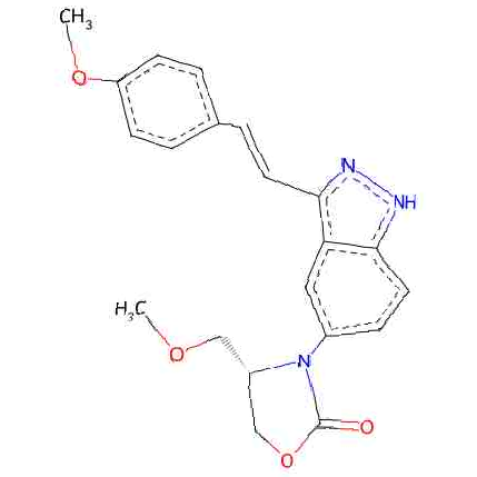 COC[C@H]1COC(=O)N1c1ccc2[nH]nc(/C=C/c3ccc(OC)cc3)c2c1